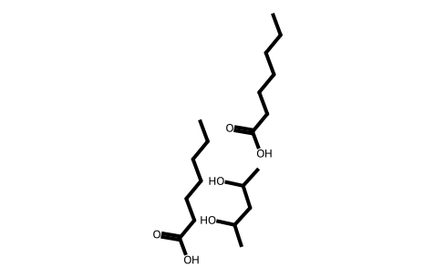 CC(O)CC(C)O.CCCCCCC(=O)O.CCCCCCC(=O)O